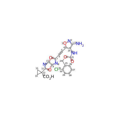 Nc1noc(C#Cc2nc3oc(C4(C(=O)O)CC4)nc3o2)c1NC(=O)OCc1ccccc1Cl